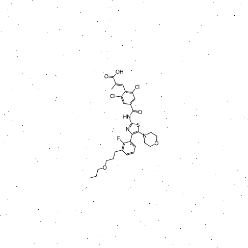 CCCOCCCc1cccc(-c2nc(NC(=O)c3cc(Cl)c(/C=C(\C)C(=O)O)c(Cl)c3)sc2N2CCOCC2)c1F